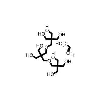 C=CC(=O)O.OCC(CO)(CO)COCC(CO)(CO)COCC(CO)(CO)CO